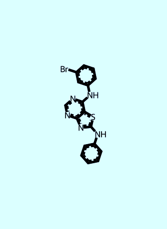 Brc1cccc(Nc2ncnc3nc(Nc4ccccc4)sc23)c1